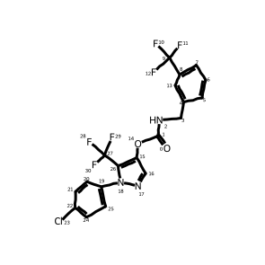 O=C(NCc1cccc(C(F)(F)F)c1)Oc1cnn(-c2ccc(Cl)cc2)c1C(F)(F)F